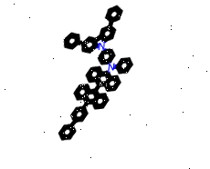 c1ccc(-c2ccc(-c3c4ccccc4c(-c4c5ccccc5c(N(c5ccccc5)c5ccc(-n6c7ccc(-c8ccccc8)cc7c7cc(-c8ccccc8)ccc76)cc5)c5ccccc45)c4ccccc34)cc2)cc1